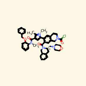 Cc1c(C(=O)N(C)c2ccccc2OCc2ccccc2)cc(-c2cc3c(cc2C(=O)N2Cc4ccccc4C[C@H]2CN2CCOCC2)CN(C(=O)Cl)CC3)n1C